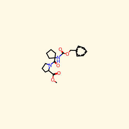 COC(=O)C1CCCN1C(=O)C1(NC(=O)OCc2ccccc2)CCCC1